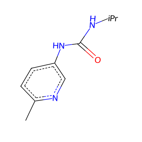 Cc1ccc(NC(=O)NC(C)C)cn1